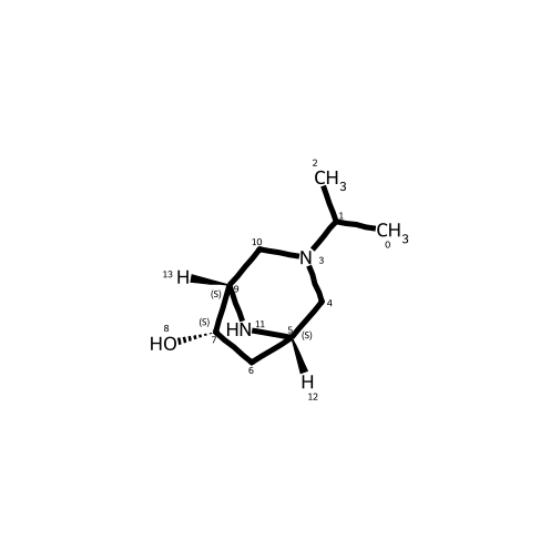 CC(C)N1C[C@@H]2C[C@H](O)[C@H](C1)N2